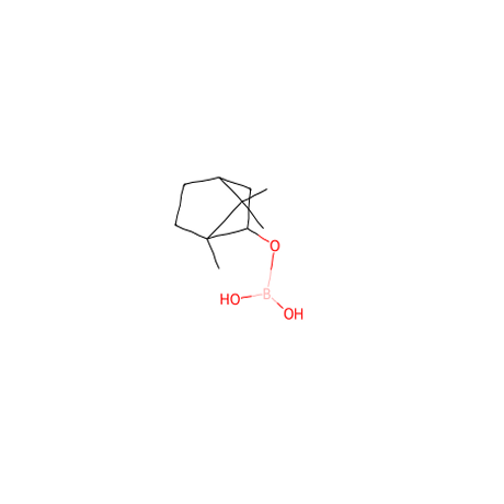 CC1(C)C2CCC1(C)C(OB(O)O)C2